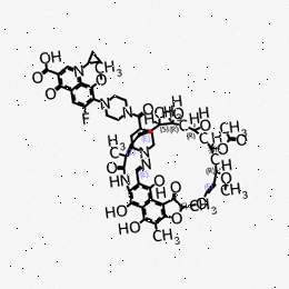 COc1c(N2CCN(C(=O)C3CCN(/N=C/c4c5c(O)c6c(O)c(C)c7c(c6c4O)C(=O)[C@@](C)(O/C=C/[C@H](OC)C[C@@H](OC(C)=O)C[C@H](O)C[C@@H](O)[C@@H](C)/C=C/C=C(/C)C(=O)N5)O7)CC3)CC2)c(F)cc2c(=O)c(C(=O)O)cn(C3CC3)c12